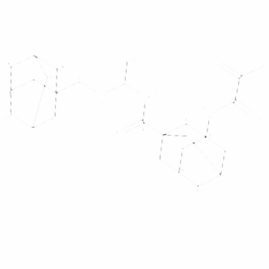 C=C(C)C(=O)OC12CC3CC(C1)CC(C(=O)OC(C)OCC14CC5CC(CC(C5)C1)C4)(C3)C2